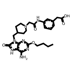 CCCCOc1nc(N)c2[nH]c(=O)n(CC3CCN(CC(=O)Nc4cccc(CC(=O)O)c4)CC3)c2n1